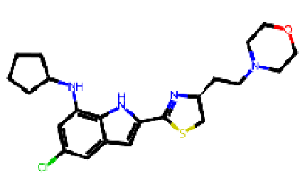 Clc1cc(NC2CCCC2)c2[nH]c(C3=N[C@@H](CCN4CCOCC4)CS3)cc2c1